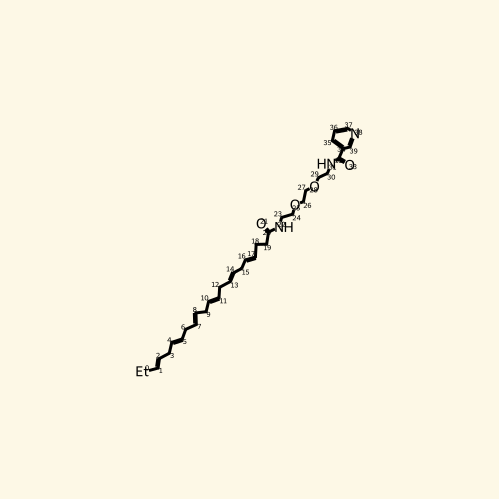 CCC=CCC=CCC=CCC=CCC=CCC=CCCC(=O)NCCOCCOCCNC(=O)c1cccnc1